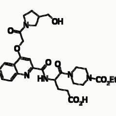 CCOC(=O)N1CCN(C(=O)C(CCC(=O)O)NC(=O)c2cc(OCC(=O)N3CCC(CO)C3)c3ccccc3n2)CC1